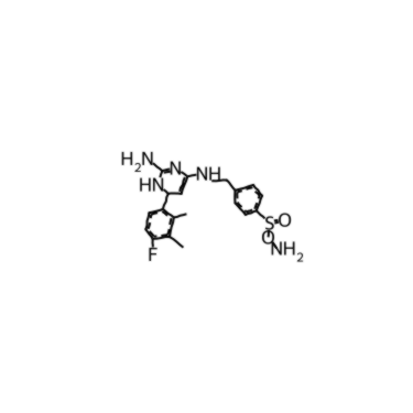 Cc1c(F)ccc(C2C=C(NCCc3ccc(S(=O)ON)cc3)N=C(N)N2)c1C